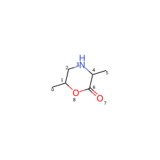 CC1CNC(C)C(=O)O1